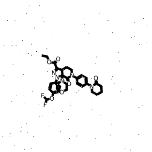 CCOC(=O)C1=NN(c2ccc(OC(F)F)cc2)C2(N3CCOCC3)C(=O)N(c3ccc(N4CCCCC4=O)cc3)CCC12